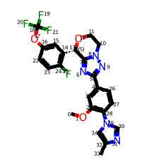 COc1cc(-c2nc3n(n2)CCO[C@H]3c2cc(OC(F)(F)F)ccc2F)ccc1-n1cnc(C)c1